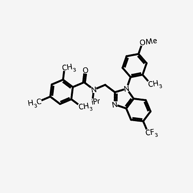 COc1ccc(-n2c(CN(C(=O)c3c(C)cc(C)cc3C)C(C)C)nc3cc(C(F)(F)F)ccc32)c(C)c1